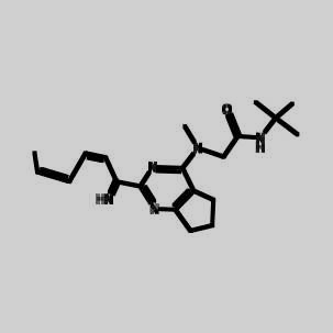 C/C=C\C=C/C(=N)c1nc2c(c(N(C)CC(=O)NC(C)(C)C)n1)CCC2